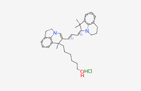 CC1(CCCCCCO)C(/C=C/C=C2/N3CCCc4cccc(c43)C2(C)C)=CN2CCc3cccc1c32.Cl